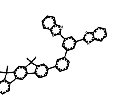 CC1(C)c2ccccc2-c2cc3c(cc21)C(C)(C)c1cc(-c2cccc(-c4cc(-c5nc6ccccc6s5)cc(-c5nc6ccccc6s5)c4)c2)ccc1-3